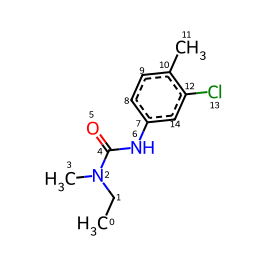 CCN(C)C(=O)Nc1ccc(C)c(Cl)c1